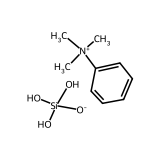 C[N+](C)(C)c1ccccc1.[O-][Si](O)(O)O